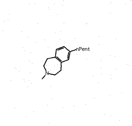 CCCCCc1ccc2c(c1)CCN(C)CC2